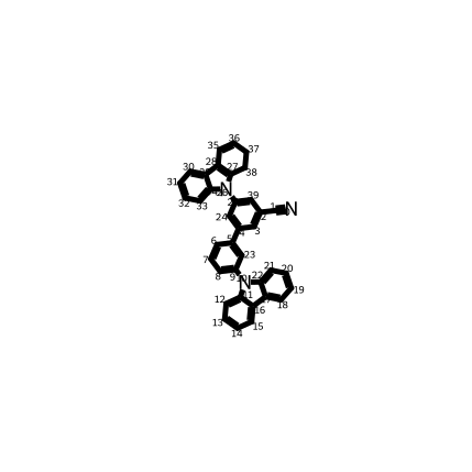 N#Cc1cc(-c2cccc(-n3c4ccccc4c4ccccc43)c2)cc(-n2c3c(c4ccccc42)C=CCC3)c1